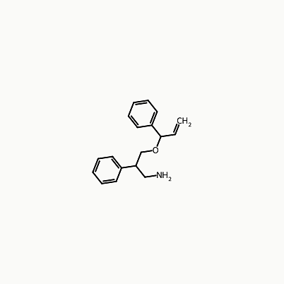 C=CC(OCC(CN)c1ccccc1)c1ccccc1